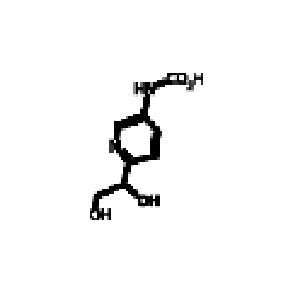 O=C(O)Nc1ccc(C(O)CO)nc1